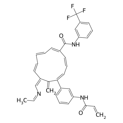 C=CC(=O)Nc1cccc(/C2=C/C=C\C(C(=O)Nc3cccc(C(F)(F)F)c3)=C/C=C/C=C/C(=C/N=C\C)C2=C)c1